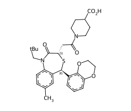 Cc1ccc2c(c1)[C@H](c1cccc3c1OCCO3)S[C@@H](CC(=O)N1CCC(C(=O)O)CC1)C(=O)N2CC(C)(C)C